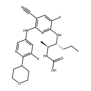 CCC[C@@H](Nc1nc(Nc2cnc(N3CCOCC3)c(F)c2)c(C#N)cc1F)[C@H](C)NC(=O)O